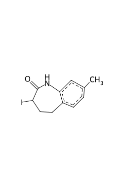 Cc1ccc2c(c1)NC(=O)C(I)CC2